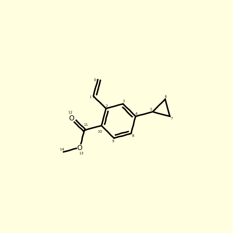 C=[C]c1cc(C2CC2)ccc1C(=O)OC